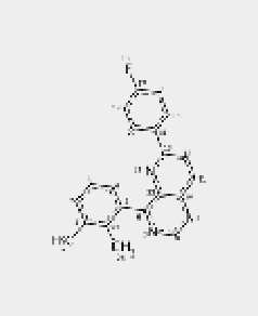 Cc1cccc(-c2ncnc3ccc(-c4ccc(F)cc4)nc23)c1C